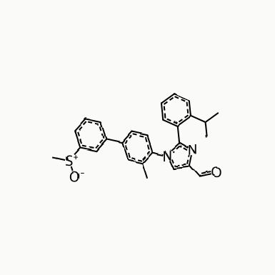 Cc1cc(-c2cccc([S+](C)[O-])c2)ccc1-n1cc(C=O)nc1-c1ccccc1C(C)C